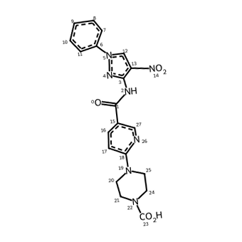 O=C(Nc1nn(-c2ccccc2)cc1[N+](=O)[O-])c1ccc(N2CCN(C(=O)O)CC2)nc1